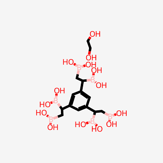 OB(O)CC(B(O)O)c1cc(C(CB(O)O)B(O)O)cc(C(CB(O)O)B(O)O)c1.OCCO